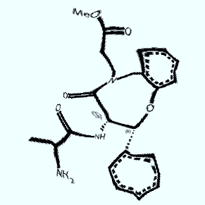 COC(=O)CN1C(=O)[C@@H](NC(=O)C(C)N)[C@@H](c2ccccc2)Oc2ccccc21